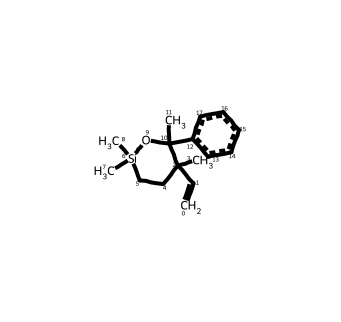 C=CC1(C)CC[Si](C)(C)OC1(C)c1ccccc1